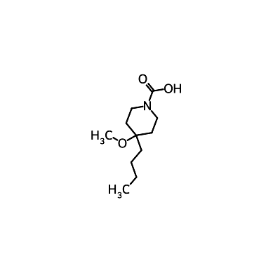 CCCCC1(OC)CCN(C(=O)O)CC1